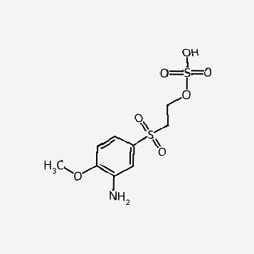 COc1ccc(S(=O)(=O)CCOS(=O)(=O)O)cc1N